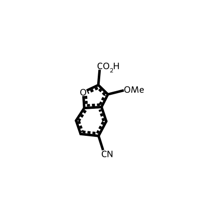 COc1c(C(=O)O)oc2ccc(C#N)cc12